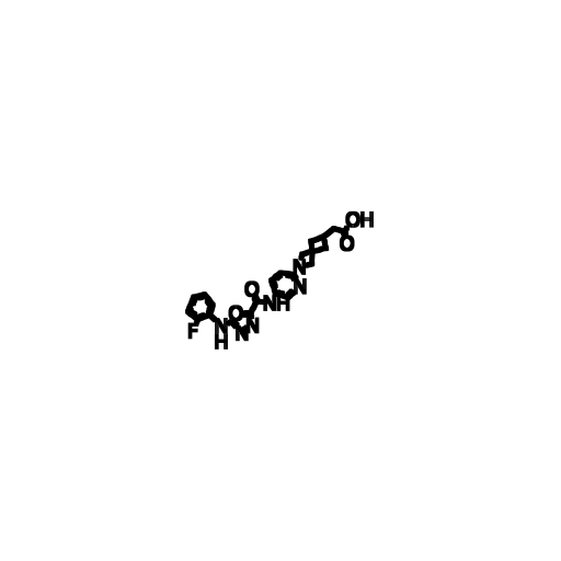 O=C(O)CC1CC2(C1)CN(c1ccc(NC(=O)c3nnc(Nc4ccccc4F)o3)cn1)C2